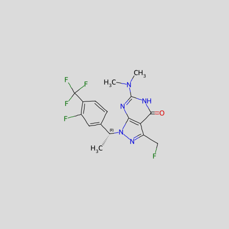 C[C@H](c1ccc(C(F)(F)F)c(F)c1)n1nc(CF)c2c(=O)[nH]c(N(C)C)nc21